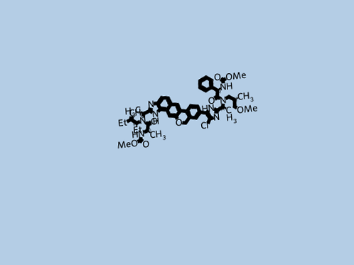 C=C(CC)[C@@H](CC)N(C(=O)[C@H](C)NC(=O)OC)[C@@H](C)c1nc2ccc3cc4c(cc3c2[nH]1)OCc1cc(-c2[nH]c([C@H](C)N(C[C@H](C)COC)C(=O)[C@H](NC(=O)OC)c3ccccc3)nc2Cl)ccc1-4